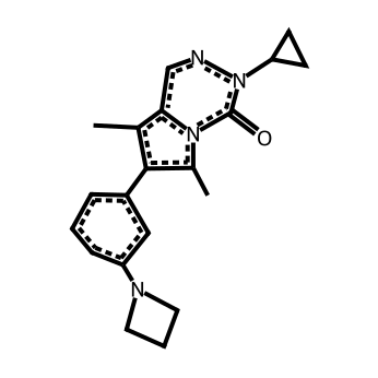 Cc1c(-c2cccc(N3CCC3)c2)c(C)n2c(=O)n(C3CC3)ncc12